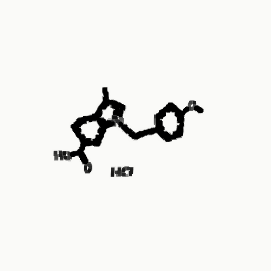 COc1ccc(Cn2cc(C)c3ccc(C(=O)O)cc32)cc1.Cl